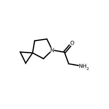 NCC(=O)N1CCC2(CC2)C1